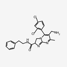 CC1=NC2=NC(C(=O)NCCc3ccccc3)CN2C(c2ccc(Cl)cc2Cl)=C1CN